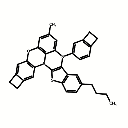 CCCCc1ccc2sc3c(c2c1)N(c1ccc2c(c1)CC2)c1cc(C)cc2c1B3c1cc3c(cc1O2)CC3